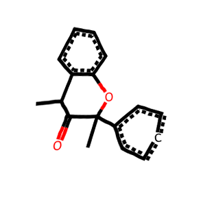 CC1C(=O)C(C)(c2ccccc2)Oc2ccccc21